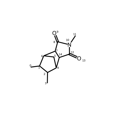 CC1C(C)C2CC1C1C(=O)N(C)C(=O)C21